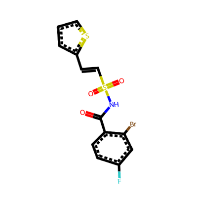 O=C(NS(=O)(=O)C=Cc1cccs1)c1ccc(F)cc1Br